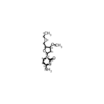 CCOCC1OC(n2ccc(N)nc2=O)CC1OC